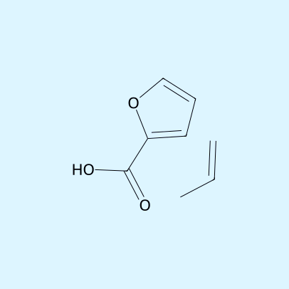 C=CC.O=C(O)c1ccco1